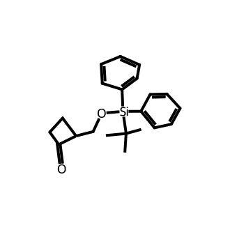 CC(C)(C)[Si](OCC1CCC1=O)(c1ccccc1)c1ccccc1